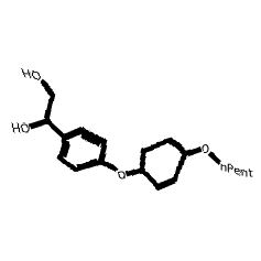 CCCCCOC1CCC(Oc2ccc(C(O)CO)cc2)CC1